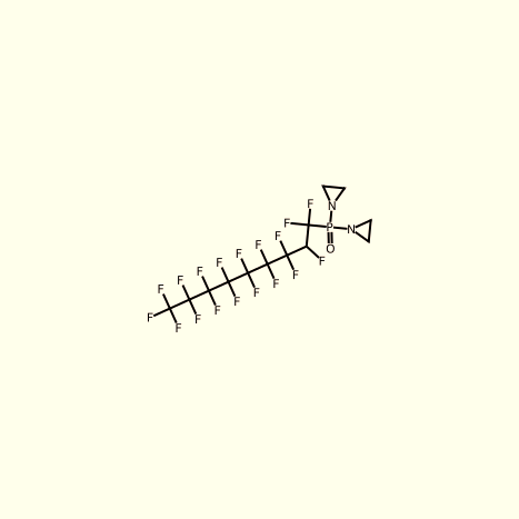 O=P(N1CC1)(N1CC1)C(F)(F)C(F)C(F)(F)C(F)(F)C(F)(F)C(F)(F)C(F)(F)C(F)(F)C(F)(F)F